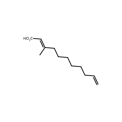 C=CCCCCCC/C(C)=C/C(=O)O